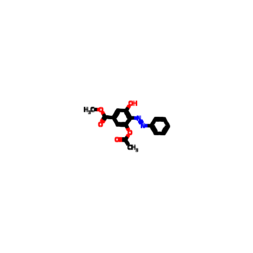 COC(=O)c1cc(O)c(N=Nc2ccccc2)c(OC(C)=O)c1